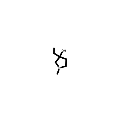 CN1CCC(O)(CI)C1